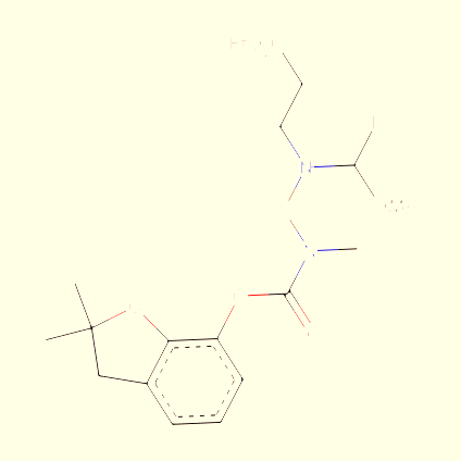 CCOC(=O)CCN(SN(C)C(=O)Oc1cccc2c1OC(C)(C)C2)C(CC)OC